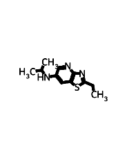 CCc1nc2ncc(NC(C)C)cc2s1